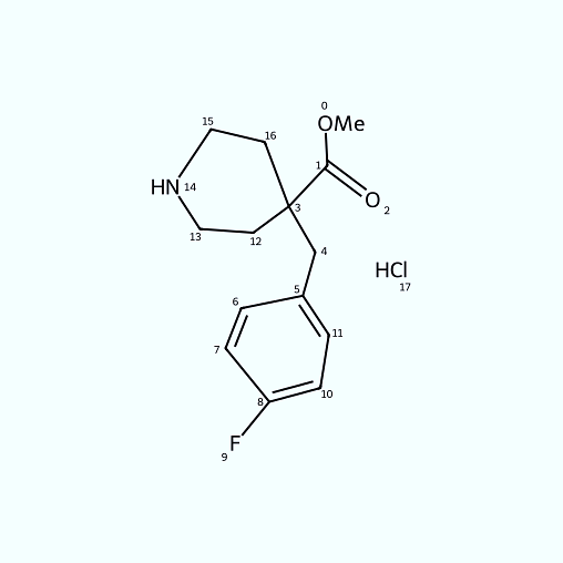 COC(=O)C1(Cc2ccc(F)cc2)CCNCC1.Cl